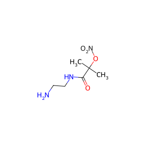 CC(C)(O[N+](=O)[O-])C(=O)NCCN